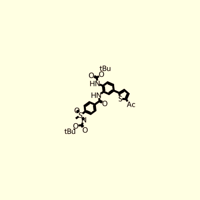 CC(=O)c1ccc(-c2ccc(NC(=O)OC(C)(C)C)c(NC(=O)c3ccc(S(C)(=O)=NC(=O)OC(C)(C)C)cc3)c2)s1